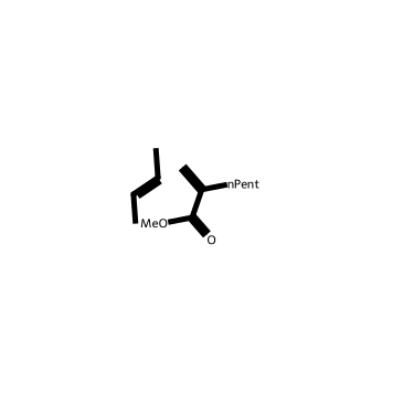 C=C(CCCCC)C(=O)OC.CC=CC